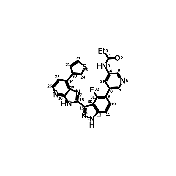 CCC(=O)Nc1cncc(-c2ccc3[nH]nc(-c4nc5c(-c6ccsc6)ccnc5[nH]4)c3c2F)c1